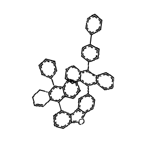 C1=Cc2c(c(-c3ccccc3)c3ccccc3c2-c2cccc3oc4ccc(-c5c6ccccc6c(-c6ccc(-c7ccccc7)cc6)c6ccccc56)cc4c23)CC1